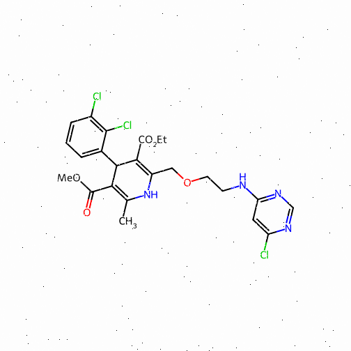 CCOC(=O)C1=C(COCCNc2cc(Cl)ncn2)NC(C)=C(C(=O)OC)C1c1cccc(Cl)c1Cl